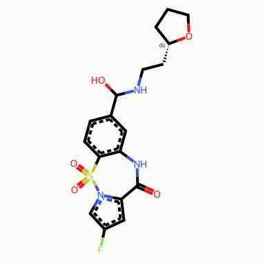 O=C1Nc2cc(C(O)NCC[C@@H]3CCCO3)ccc2S(=O)(=O)n2cc(F)cc21